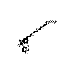 Cn1c(=O)n(C2CCC(=O)NC2=O)c2ccc(CCCOCCOCCOCCNC(=O)O)cc21